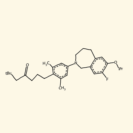 Cc1cc(N2CCCc3cc(OC(C)C)c(F)cc3C2)cc(C)c1CCCC(=O)CC(C)(C)C